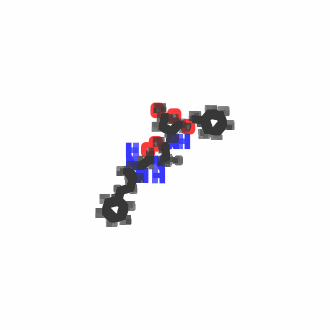 C[C@H](NC(=O)c1nc(CCc2ccccc2)c[nH]1)C(=O)NC1CC(=O)OC1OCc1ccccc1